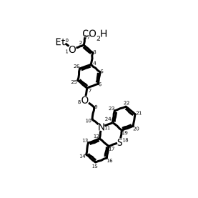 CCO/C(=C\c1ccc(OCCN2c3ccccc3Sc3ccccc32)cc1)C(=O)O